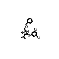 CC(C)c1c(Sc2cc(Cl)cc(Cl)c2)nc(COCc2ccccc2)n1C